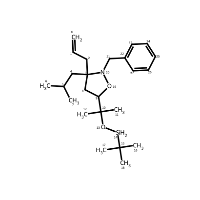 C=CCC1(CC(C)C)CC(C(C)(C)O[SiH2]C(C)(C)C)ON1Cc1ccccc1